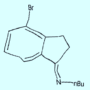 CCCC/N=C1\CCc2c(Br)cccc21